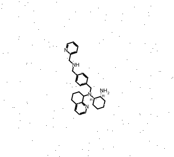 N[C@@H]1CCCC[C@H]1N(Cc1ccc(CNCc2ccccn2)cc1)C1CCCc2cccnc21